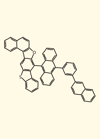 c1cc(-c2ccc3ccccc3c2)cc(-c2c3ccccc3c(-c3c4oc5ccc6ccccc6c5c4cc4sc5ccccc5c34)c3ccccc23)c1